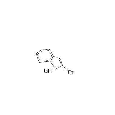 CCC1=Cc2ccccc2C1.[LiH]